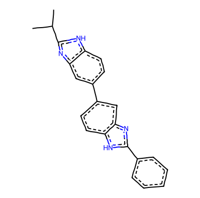 CC(C)c1nc2cc(-c3ccc4[nH]c(-c5ccccc5)nc4c3)ccc2[nH]1